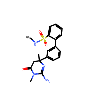 CN1C(=O)CC(C)(c2cccc(-c3ccccc3S(=O)(=O)NC(C)(C)C)c2)N=C1N